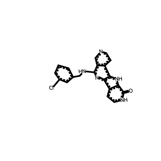 O=c1[nH]ccc2c1[nH]c1c3ccncc3c(NCc3cccc(Cl)c3)nc21